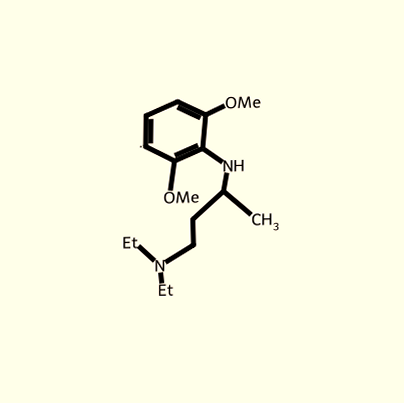 CCN(CC)CCC(C)Nc1c(OC)[c]ccc1OC